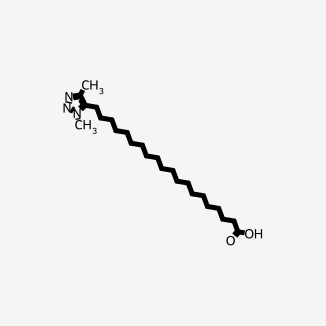 Cc1nnn(C)c1CCCCCCCCCCCCCCCCCCCC(=O)O